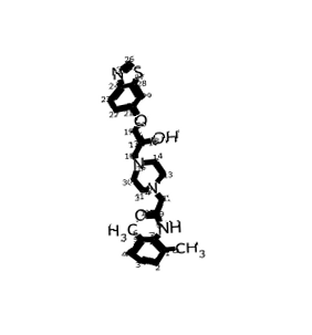 Cc1cccc(C)c1NC(=O)CN1CCN(CC(O)COc2ccc3ncsc3c2)CC1